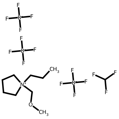 CCC[N+]1(COC)CCCC1.FC(F)F.F[B-](F)(F)F.F[B-](F)(F)F.F[B-](F)(F)F